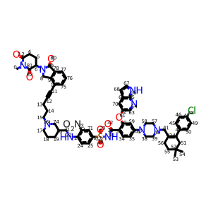 CN1C(=O)CCC(N2Cc3c(C#CCCCN4CCCC(CNc5ccc(S(=O)(=O)NC(=O)c6ccc(N7CCN(CC8=C(c9ccc(Cl)cc9)CC(C)(C)CC8)CC7)cc6Oc6cnc7[nH]ccc7c6)cc5[N+](=O)[O-])C4)cccc3C2=O)C1=O